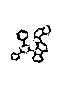 c1ccc(-c2nc(-c3ccccc3)nc(-n3c4ccccc4c4ccc5c(sc6ccc7nccnc7c65)c43)n2)cc1